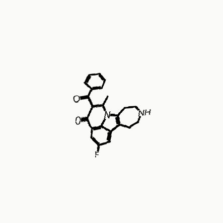 CC1C(C(=O)c2ccccc2)C(=O)c2cc(F)cc3c4c(n1c23)CCNCC4